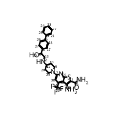 NC(=O)c1sc2nc(N3CCC(NCC(O)c4ccc(-c5ccccc5)cc4)CC3)cc(C(F)(F)F)c2c1N